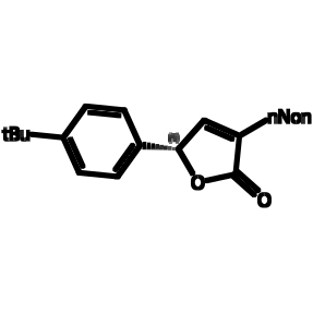 CCCCCCCCCC1=C[C@@H](c2ccc(C(C)(C)C)cc2)OC1=O